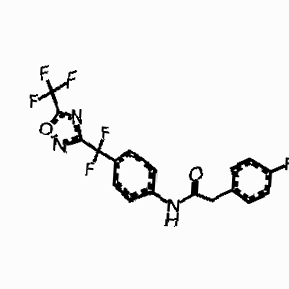 O=C(Cc1ccc(F)cc1)Nc1ccc(C(F)(F)c2noc(C(F)(F)F)n2)cc1